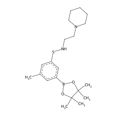 Cc1cc(SNCCN2CCCCC2)cc(B2OC(C)(C)C(C)(C)O2)c1